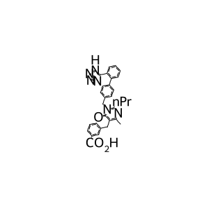 CCCc1nc(C)c(Cc2cccc(C(=O)O)c2)c(=O)n1Cc1ccc(-c2ccccc2-c2nnn[nH]2)cc1